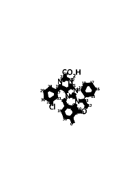 CC1CCC(Cn2c(N3CCOC[C@H]3c3ccccc3)nc3nc(C(=O)O)nc(-c4cccc(Cl)c4)c32)CC1